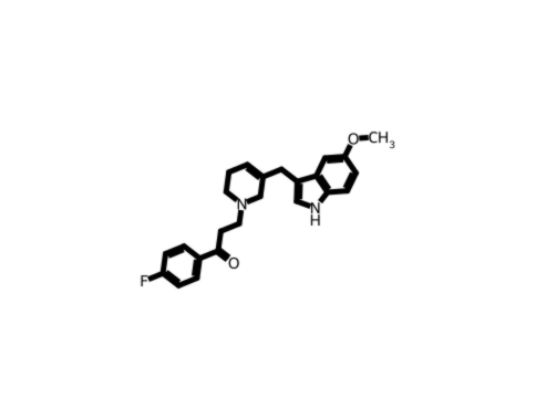 COc1ccc2[nH]cc(CC3=CCCN(CCC(=O)c4ccc(F)cc4)C3)c2c1